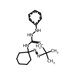 CC(C)(C)N=NC1(NC(=S)NNc2ccccc2)CCCCC1